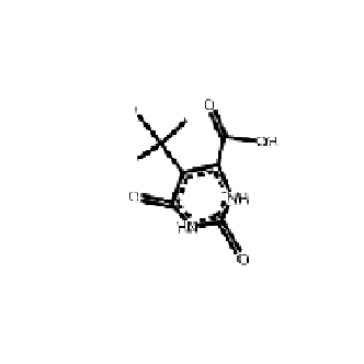 CC(C)(I)c1c(C(=O)O)[nH]c(=O)[nH]c1=O